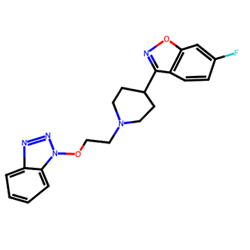 Fc1ccc2c(C3CCN(CCOn4nnc5ccccc54)CC3)noc2c1